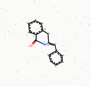 O=C1NC(=Cc2ccccc2)Cc2ccccc21